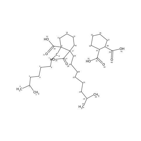 CC(C)CCCCCCC1(C(=O)O)CCCCC1(CCCCCCC(C)C)C(=O)O.O=C(O)C1CCCCC1C(=O)O